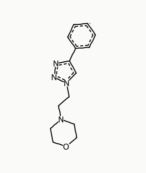 [c]1ccc(-c2cn(CCN3CCOCC3)nn2)cc1